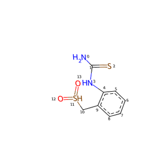 NC(=S)Nc1ccccc1C[SH](=O)=O